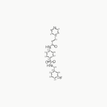 O=C(/C=C/c1ccncc1)Nc1ccc(S(=O)(=O)NCc2cccc(F)c2)cc1